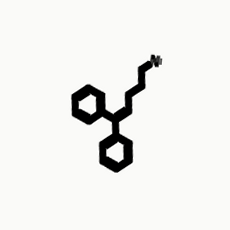 [N]CCCC=C(c1ccccc1)c1ccccc1